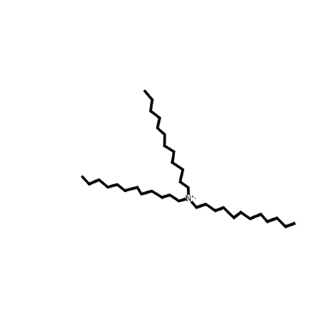 CCCCCCCCCCCC[N+](CCCCCCCCCCCC)CCCCCCCCCCCC